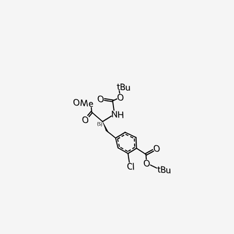 COC(=O)[C@H](Cc1ccc(C(=O)OC(C)(C)C)c(Cl)c1)NC(=O)OC(C)(C)C